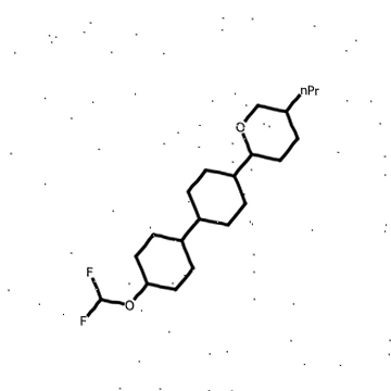 CCCC1CCC(C2CCC(C3CCC(OC(F)F)CC3)CC2)OC1